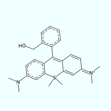 CN(C)c1ccc2c(c1)[Si](C)(C)C1=CC(=[N+](C)C)C=CC1=C2c1ccccc1CO